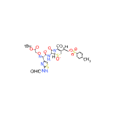 Cc1ccc(S(=O)(=O)O/C=C/C2=C(C(=O)O)N3C(=O)C(NC(=O)/C(=N\OCC(=O)OC(C)(C)C)c4csc(NC=O)n4)[C@H]3[S+]([O-])C2)cc1